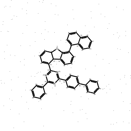 C1=CC2Oc3c(-c4cccc5ccccc45)cccc3C2C(c2nc(-c3ccccc3)nc(-c3ccc(-c4ccccc4)cc3)n2)=C1